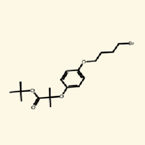 CC(C)(C)OC(=O)C(C)(C)Oc1ccc(OCCCCBr)cc1